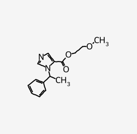 COCCOC(=O)c1cncn1C(C)c1ccccc1